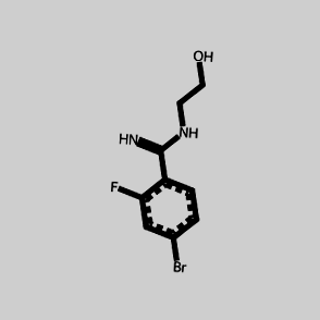 N=C(NCCO)c1ccc(Br)cc1F